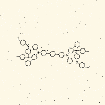 C=Cc1ccc(Oc2ccc(C3(c4ccc(C)cc4)c4ccccc4-c4ccc(N(c5ccccc5)c5ccc(-c6ccc(-c7ccc(N(c8ccccc8)c8ccc9c(c8)C(c8ccc(C)cc8)(c8ccc(Oc%10ccc(C=C)cc%10)cc8)c8ccccc8-9)cc7)cc6)cc5)cc43)cc2)cc1